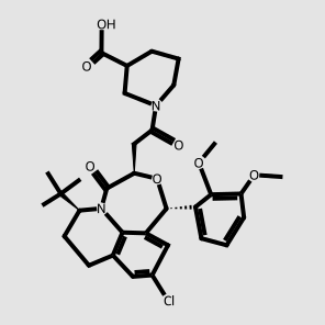 COc1cccc([C@H]2O[C@H](CC(=O)N3CCCC(C(=O)O)C3)C(=O)N3c4c(cc(Cl)cc42)CC[C@H]3C(C)(C)C)c1OC